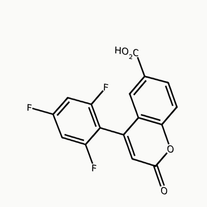 O=C(O)c1ccc2oc(=O)cc(-c3c(F)cc(F)cc3F)c2c1